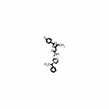 Cc1oc(-c2ccc(F)cc2)nc1CC(=O)NC[C@H]1CN(C(C)c2ccccc2)CCO1